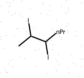 CCC[C](I)C(C)I